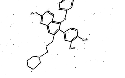 COc1ccc2c(Oc3ccccc3)c(-c3ccc(OC)c(OC)c3)c(CCCN3CCCCC3)cc2c1